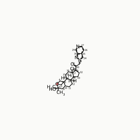 COC[C@]12CC[C@@](C)(O)CC1CC[C@@H]1[C@@H]2CC[C@]2(C)[C@@H](C(=O)Cn3cc4ccncc4n3)CC[C@@H]12